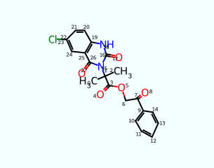 CC(C)(C(=O)OCC(=O)c1ccccc1)n1c(=O)[nH]c2ccc(Cl)cc2c1=O